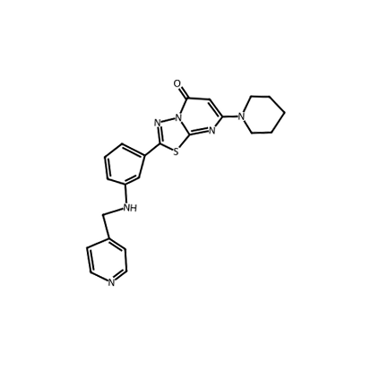 O=c1cc(N2CCCCC2)nc2sc(-c3cccc(NCc4ccncc4)c3)nn12